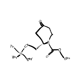 CC(C)[Si](OC[C@@H]1CC(=O)CCN1C(=O)OC(C)(C)C)(C(C)C)C(C)C